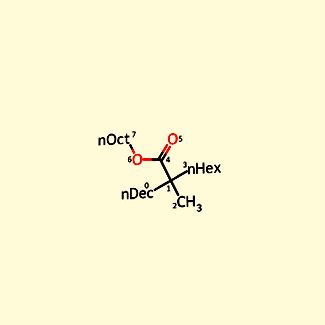 CCCCCCCCCCC(C)(CCCCCC)C(=O)OCCCCCCCC